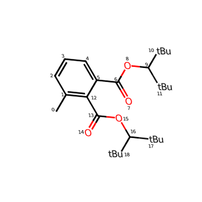 Cc1cccc(C(=O)OC(C(C)(C)C)C(C)(C)C)c1C(=O)OC(C(C)(C)C)C(C)(C)C